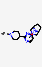 CCCCN1CCC(c2nccc(N3C4CCC3CN(C)C4)n2)CC1